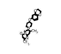 Cc1cc2nc(C(F)(F)F)cc(=O)n2nc1N1CCC(Oc2ccc3c(c2)OCCO3)CC1